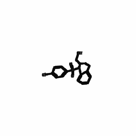 O=S(=O)(c1ccc(Cl)cc1)N1c2ccccc2CCC1CO